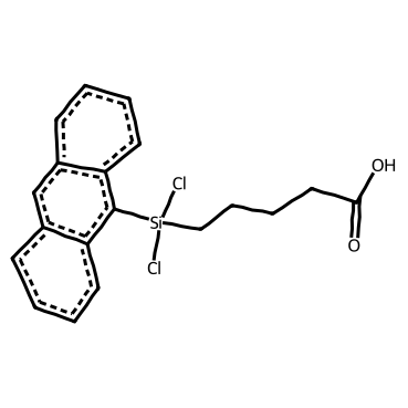 O=C(O)CCCC[Si](Cl)(Cl)c1c2ccccc2cc2ccccc12